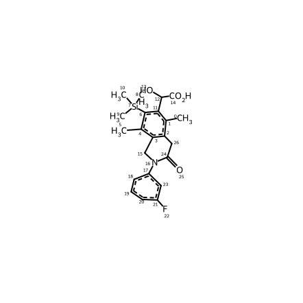 Cc1c2c(c(C)c([Si](C)(C)C)c1C(O)C(=O)O)CN(c1cccc(F)c1)C(=O)C2